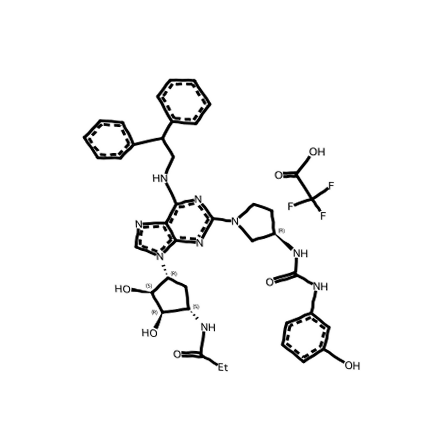 CCC(=O)N[C@H]1C[C@@H](n2cnc3c(NCC(c4ccccc4)c4ccccc4)nc(N4CC[C@@H](NC(=O)Nc5cccc(O)c5)C4)nc32)[C@H](O)[C@@H]1O.O=C(O)C(F)(F)F